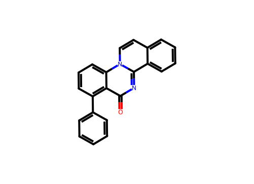 O=c1nc2c3ccccc3ccn2c2cccc(-c3ccccc3)c12